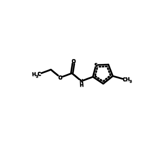 CCOC(=O)Nc1cc(C)cs1